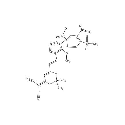 COc1c(C=CC2=CC(=C(C#N)C#N)CC(C)(C)C2)cccc1C1([N+](=O)[O-])C=CC(S(N)(=O)=O)=C([N+](=O)[O-])C1